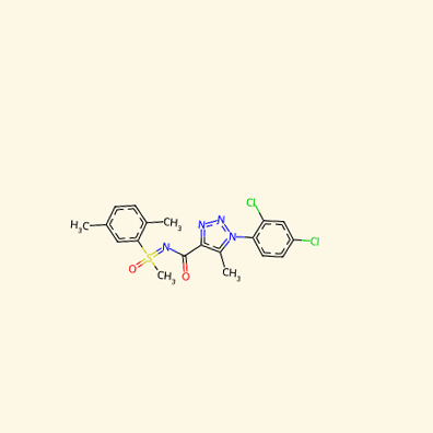 Cc1ccc(C)c(S(C)(=O)=NC(=O)c2nnn(-c3ccc(Cl)cc3Cl)c2C)c1